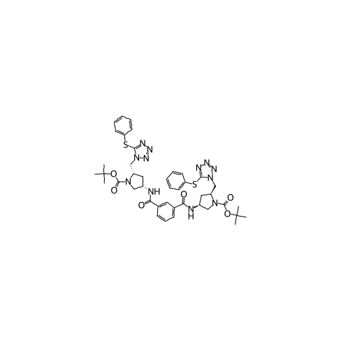 CC(C)(C)OC(=O)N1C[C@@H](NC(=O)c2cccc(C(=O)N[C@H]3C[C@@H](Cn4nnnc4Sc4ccccc4)N(C(=O)OC(C)(C)C)C3)c2)C[C@H]1Cn1nnnc1Sc1ccccc1